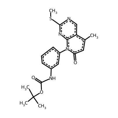 CSc1ncc2c(C)cc(=O)n(-c3cccc(NC(=O)OC(C)(C)C)c3)c2n1